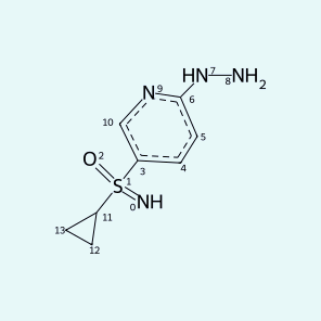 N=S(=O)(c1ccc(NN)nc1)C1CC1